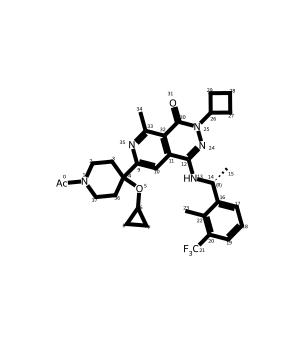 CC(=O)N1CCC(OC2CC2)(c2cc3c(N[C@H](C)c4cccc(C(F)(F)F)c4C)nn(C4CCC4)c(=O)c3c(C)n2)CC1